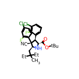 CCC(C)(CC)C[C@@H]1N[C@@H](C(=O)OC(C)(C)C)[C@H](c2cccc(Cl)c2F)[C@@]1(C#N)c1ccc(Cl)cc1F